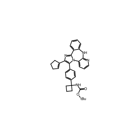 CC(C)(C)OC(=O)NC1(c2ccc(-c3c(C4=CCCC4)nc4n3-c3cccnc3Nc3ccccc3-4)cc2)CCC1